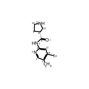 Cc1cnc(NC(=O)[C@@H]2CCNC2)cc1I